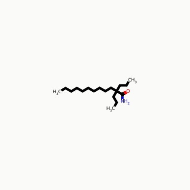 CCCCCCCCCCC(CCC)(CCC)C(N)=O